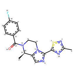 Cc1nsc(-c2ncc3n2CCN(C(=O)c2ccc(F)cc2)[C@@H]3C)n1